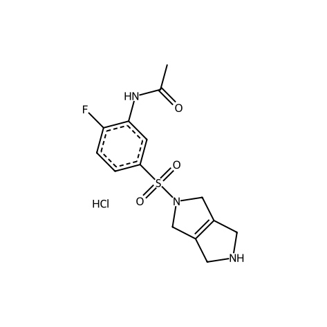 CC(=O)Nc1cc(S(=O)(=O)N2CC3=C(CNC3)C2)ccc1F.Cl